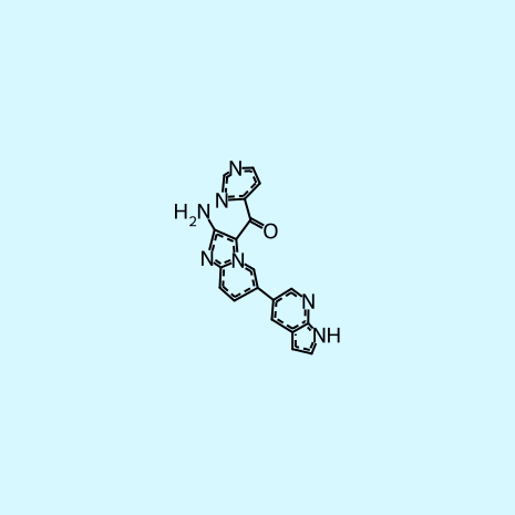 Nc1nc2ccc(-c3cnc4[nH]ccc4c3)cn2c1C(=O)c1ccncn1